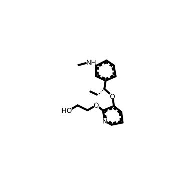 CC[C@@H](Oc1cccnc1OCCO)c1cccc(NC)c1